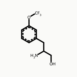 NC(CO)Cc1cccc(OC(F)(F)F)c1